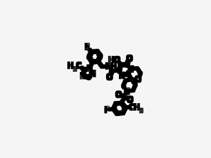 Cc1ccc(F)cc1S(=O)(=O)N1CCC2(CC1)OCCn1c2nc(C(=O)NCc2ccc(F)cc2-n2ncnc2C)c(O)c1=O